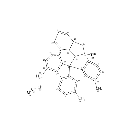 Cc1cccc(C(c2cccc(C)c2)(c2cccc(C)c2)C2[CH]([Ti+3])CC3C=CC=CC32)c1.[Cl-].[Cl-].[Cl-]